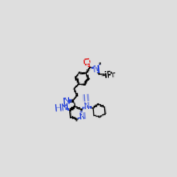 CC(C)CN(C)C(=O)c1ccc(CCc2n[nH]c3ccnc(NC4CCCCC4)c23)cc1